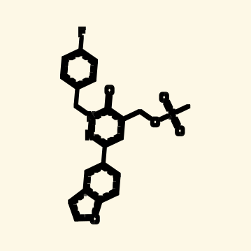 CS(=O)(=O)OCc1cc(-c2ccc3occc3c2)nn(Cc2ccc(F)cc2)c1=O